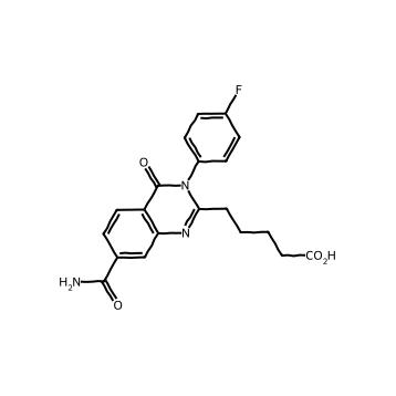 NC(=O)c1ccc2c(=O)n(-c3ccc(F)cc3)c(CCCCC(=O)O)nc2c1